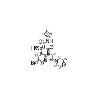 O=C(NC12CC(C1)C2)c1c(O)c2cc(Br)cnc2n(CCN2CCOCC2)c1=O